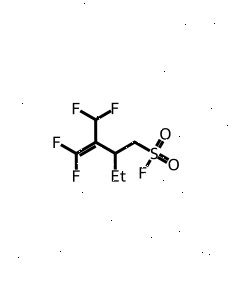 CCC(CS(=O)(=O)F)C(=C(F)F)C(F)F